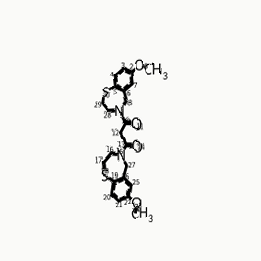 COc1ccc2c(c1)CN(C(=O)CC(=O)N1CCSc3ccc(OC)cc3C1)CCS2